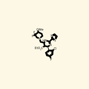 CCOC(=O)C1C(CN2CCC(OC)C(F)(F)C2)NC(c2nccs2)=N[C@H]1c1ccc(F)cc1Cl